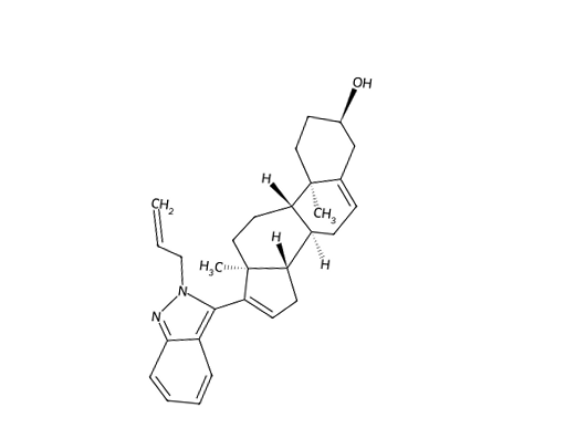 C=CCn1nc2ccccc2c1C1=CC[C@H]2[C@@H]3CC=C4C[C@H](O)CC[C@]4(C)[C@H]3CC[C@]12C